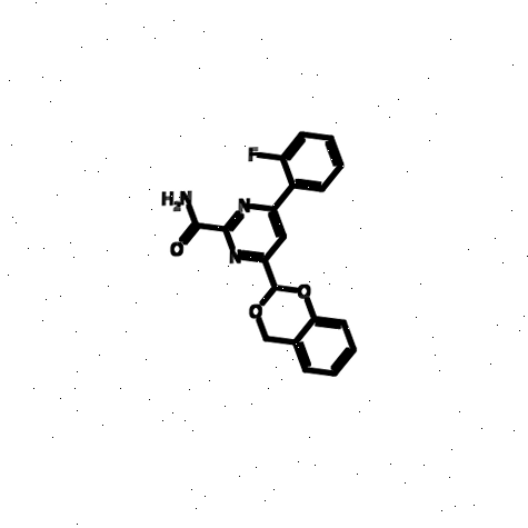 NC(=O)c1nc(-c2ccccc2F)cc(C2OCc3ccccc3O2)n1